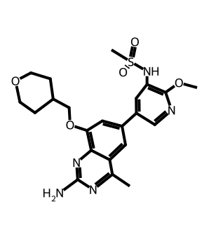 COc1ncc(-c2cc(OCC3CCOCC3)c3nc(N)nc(C)c3c2)cc1NS(C)(=O)=O